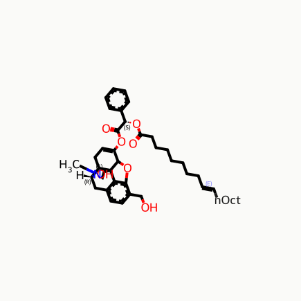 CCCCCCCC/C=C/CCCCCCCC(=O)O[C@H](C(=O)OC1=CC[C@@]2(O)[C@H]3Cc4ccc(CO)c5c4C2(CCN3C)C1O5)c1ccccc1